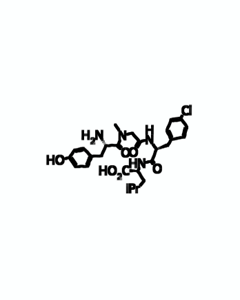 CC(C)C[C@H](NC(=O)[C@H](Cc1ccc(Cl)cc1)NC(=O)CN(C)C(=O)[C@@H](N)Cc1ccc(O)cc1)C(=O)O